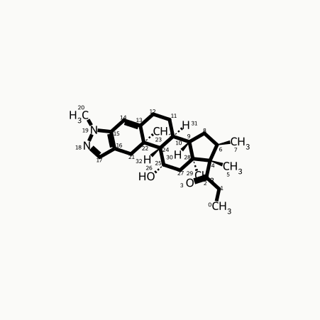 CCC(=O)[C@@]1(C)[C@H](C)C[C@H]2[C@@H]3CCC4=Cc5c(cnn5C)C[C@]4(C)[C@H]3[C@@H](O)C[C@@]21C